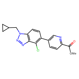 COC(=O)c1ccc(-c2ccc3c(nnn3CC3CC3)c2Cl)cn1